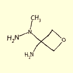 CN(N)C1(N)COC1